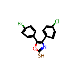 Sc1nc(-c2ccc(Cl)cc2)c(-c2ccc(Br)cc2)o1